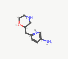 Nc1ccc(CC2CNCCO2)nc1